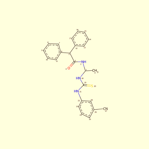 CC(NC(=O)C(c1ccccc1)c1ccccc1)NC(=S)Nc1cccc(C#N)c1